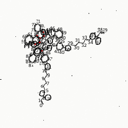 C=CC(=O)OCCCCCCOc1ccc(C(=O)O[C@H]([C@@H](OC(=O)c2ccc(OCCCCCCOC(=O)C=C)cc2)C(O)(c2ccc3ccccc3c2)c2ccc3ccccc3c2)C(O)(c2ccc3ccccc3c2)c2ccc3ccccc3c2)cc1